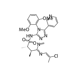 C=N/C(=N\C=C(/C)Cl)[C@@H](C)[C@H](C)S(=O)(=O)Nc1nnc(-c2cccnc2)n1-c1c(OC)cccc1OC